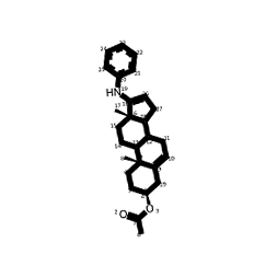 CC(=O)O[C@H]1CC[C@@]2(C)C(=CCC3C2CC[C@]2(C)C(Nc4ccccc4)=CCC32)C1